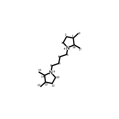 CC1CCN(CCCCN2CCC(C)C2C)C1C